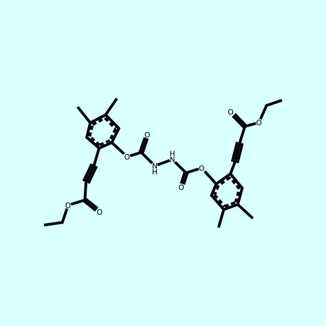 CCOC(=O)C#Cc1cc(C)c(C)cc1OC(=O)NNC(=O)Oc1cc(C)c(C)cc1C#CC(=O)OCC